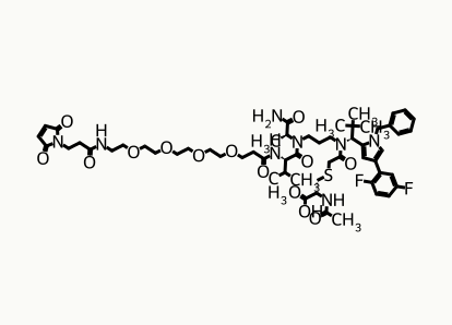 CC(=O)N[C@@H](CSCC(=O)N(CCCN(C(=O)[C@@H](NC(=O)CCOCCOCCOCCOCCNC(=O)CCN1C(=O)C=CC1=O)C(C)C)[C@@H](C)C(N)=O)[C@@H](c1cc(-c2cc(F)ccc2F)cn1Cc1ccccc1)C(C)(C)C)C(=O)O